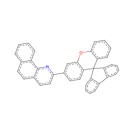 c1ccc2c(c1)Oc1cc(-c3ccc4ccc5ccccc5c4n3)ccc1C21c2ccccc2-c2ccccc21